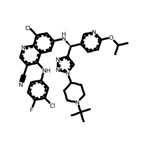 CC(C)Oc1ccc([C@H](Nc2cc(Cl)c3ncc(C#N)c(Nc4ccc(F)c(Cl)c4)c3c2)c2cn(C3CCN(C(C)(C)C)CC3)nn2)cn1